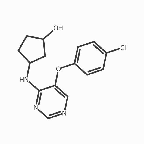 OC1CCC(Nc2ncncc2Oc2ccc(Cl)cc2)C1